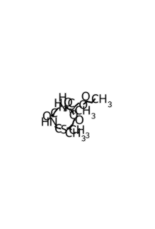 CCC(=O)OCC(C)(C)[C@H]1OC(=O)CC(C)(C)SCCNC(=O)CCNC1=O